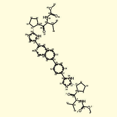 COC(=O)N[C@H](C(=O)N1CCC[C@H]1c1ncc(-c2ccc(-c3ccc4cc(-c5cnc([C@@H]6CCCN6C(=O)[C@@H](NC(=O)OC)C(C)C)[nH]5)ncc4c3)cc2)[nH]1)C(C)C